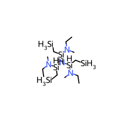 CCN(C)[SiH](C[SiH3])N([SiH](C[SiH3])N(C)CC)[SiH](C[SiH3])N(C)CC